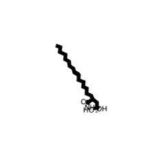 CCCCCCCCC=CCCCCCCC(CC(O)O)C(N)=O